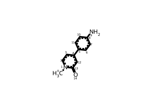 Cn1ccc(-c2ccc(N)cc2)cc1=O